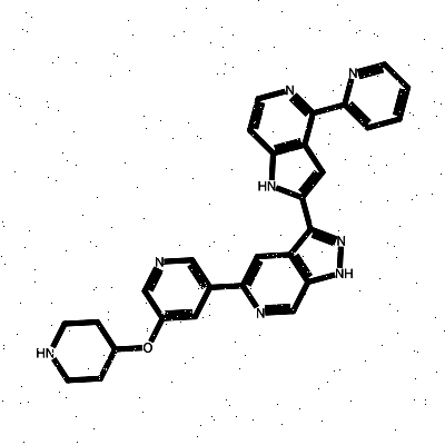 c1ccc(-c2nccc3[nH]c(-c4n[nH]c5cnc(-c6cncc(OC7CCNCC7)c6)cc45)cc23)nc1